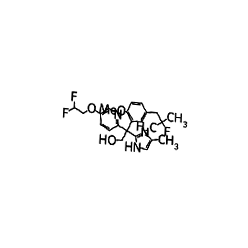 COc1ccc(CC(C)(C)F)cc1C(CO)(c1ccc(OCC(F)F)cn1)c1nc(C)c[nH]1